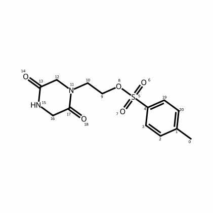 Cc1ccc(S(=O)(=O)OCCN2CC(=O)NCC2=O)cc1